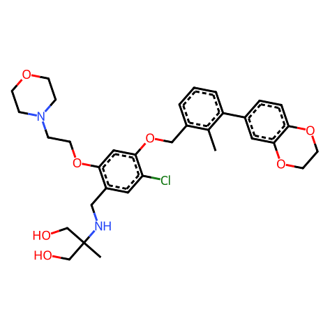 Cc1c(COc2cc(OCCN3CCOCC3)c(CNC(C)(CO)CO)cc2Cl)cccc1-c1ccc2c(c1)OCCO2